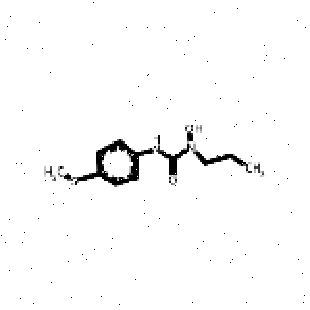 CCCN(O)C(=O)Nc1ccc(SC)cc1